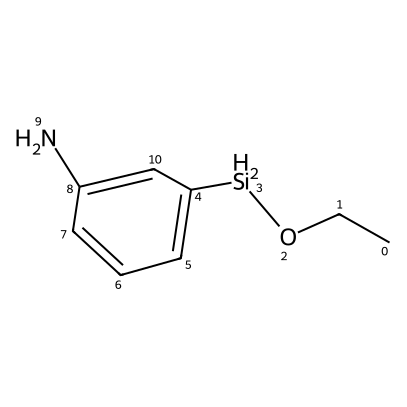 CCO[SiH2]c1cccc(N)c1